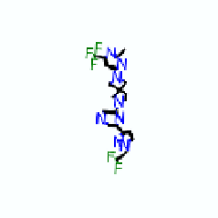 Cc1nc(N2CC3(CCN(c4cncc(-c5ccn(CC(F)F)n5)n4)C3)C2)cc(C(F)(F)F)n1